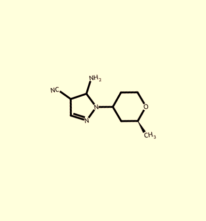 C[C@H]1CC(N2N=CC(C#N)C2N)CCO1